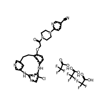 N#Cc1ccc(N2CCN(C(=O)COc3ccc4cc3CCc3cncc(c3)Nc3ncc(Cl)c(n3)N4)CC2)nc1.O=C(O)C(F)(F)F.O=C(O)C(F)(F)F.O=C(O)C(F)(F)F